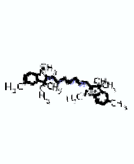 Cc1ccc2c(c1)C(C)(C)C(/C=C/C=C/C=C/C=C1/N(C)c3ccc(C)cc3C1(C)C)=[N+]2C